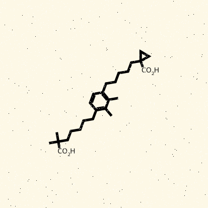 Cc1c(CCCCCC(C)(C)C(=O)O)ccc(CCCCCC2(C(=O)O)CC2)c1C